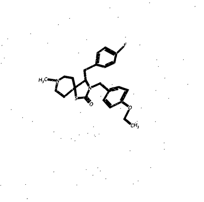 CCOc1ccc(CN2C(=O)SC3(CCN(C)CC3)C2Cc2ccc(F)cc2)cc1